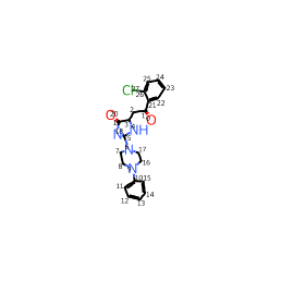 O=C(CC1NC(N2CCN(c3ccccc3)CC2)=NC1=O)c1ccccc1Cl